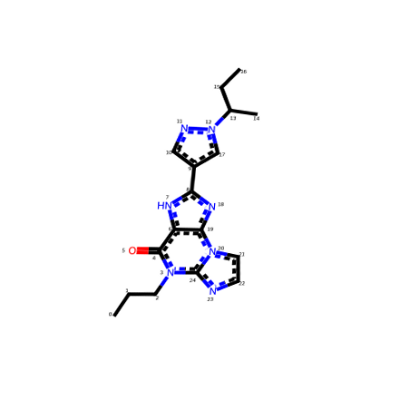 CCCn1c(=O)c2[nH]c(-c3cnn(C(C)CC)c3)nc2n2ccnc12